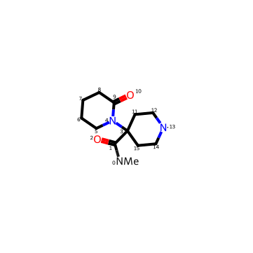 CNC(=O)C1(N2CCCCC2=O)CC[N]CC1